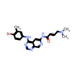 Cc1cc(Nc2ncnc3cnc(NC(=O)/C=C/CN(C)C)cc23)ccc1Br